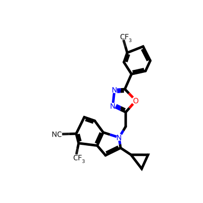 N#Cc1ccc2c(cc(C3CC3)n2Cc2nnc(-c3cccc(C(F)(F)F)c3)o2)c1C(F)(F)F